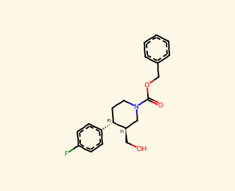 O=C(OCc1ccccc1)N1CC[C@@H](c2ccc(F)cc2)[C@H](CO)C1